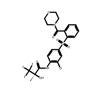 C[C@@](O)(C(=O)Nc1ccc(S(=O)(=O)c2ccccc2C(=O)N2CCOCC2)cc1Cl)C(F)(F)F